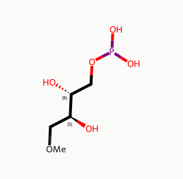 COC[C@H](O)[C@H](O)COP(O)O